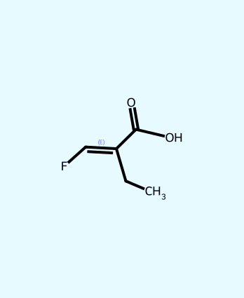 CC/C(=C\F)C(=O)O